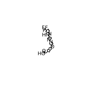 O=C(O)CC1CC2CC(OC3CCN(c4ccc(-c5nc6ccc(C(F)(F)F)cc6[nH]5)cn4)CC3)CC2C1